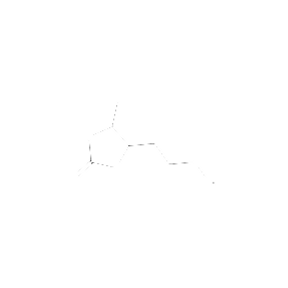 CC1OC(=O)OC1CCOO